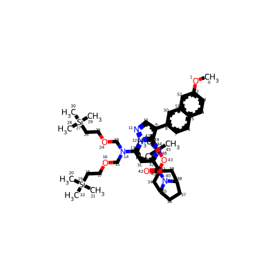 COc1ccc2ccc(-c3cnn4c(N(COCC[Si](C)(C)C)COCC[Si](C)(C)C)cc(C5CC6CCC(C5)N6C(=O)OC(C)(C)C)nc34)cc2c1